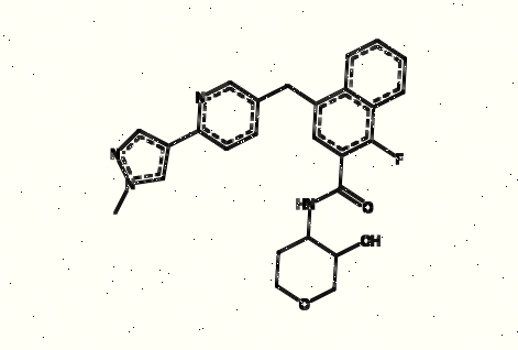 Cn1cc(-c2ccc(Cc3cc(C(=O)NC4CCOCC4O)c(F)c4ccccc34)cn2)cn1